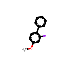 COc1ccc(-c2ccccc2)c(I)c1